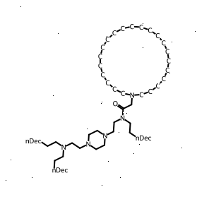 CCCCCCCCCCCCN(CCCCCCCCCCCC)CCN1CCN(CCN(CCCCCCCCCCCC)C(=O)CN2CCCCCCCCCCCCCCCCCCCCCC2)CC1